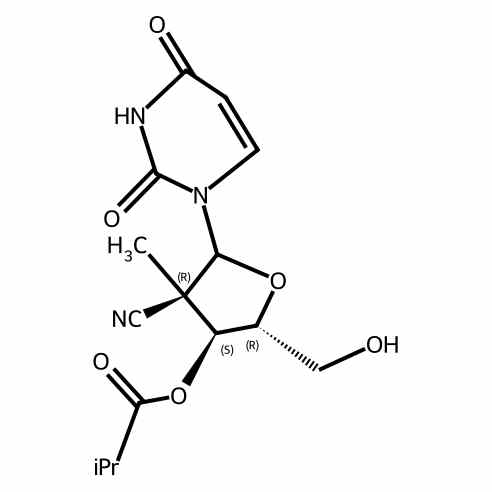 CC(C)C(=O)O[C@@H]1[C@@H](CO)OC(n2ccc(=O)[nH]c2=O)[C@]1(C)C#N